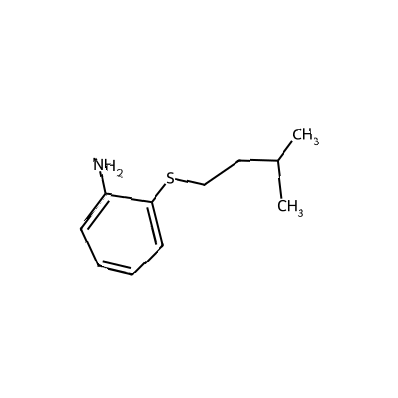 CC(C)CCSc1ccccc1N